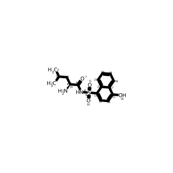 CC(C)C[C@H](N)C(=O)NS(=O)(=O)c1ccc(O)c2ccccc12